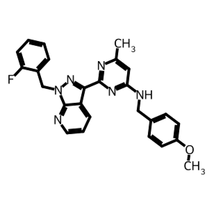 COc1ccc(CNc2cc(C)nc(-c3nn(Cc4ccccc4F)c4ncccc34)n2)cc1